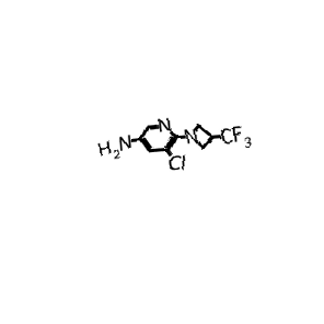 Nc1cnc(N2CC(C(F)(F)F)C2)c(Cl)c1